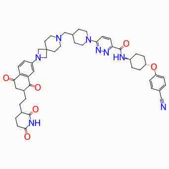 N#Cc1ccc(O[C@H]2CC[C@H](NC(=O)c3ccc(N4CCC(CN5CCC6(CC5)CN(c5ccc7c(c5)C(=O)C(CCC5CCC(=O)NC5=O)CC7=O)C6)CC4)nn3)CC2)cc1